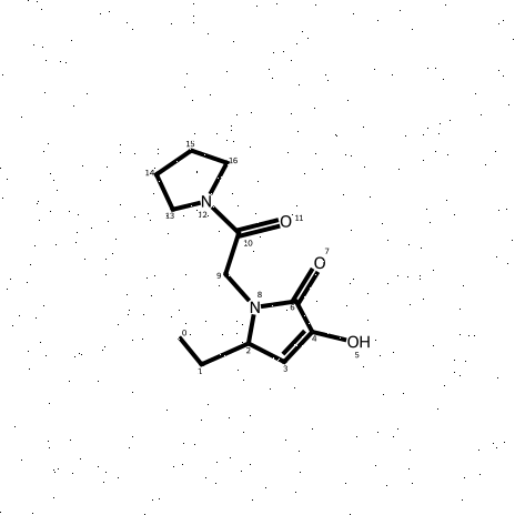 CCC1C=C(O)C(=O)N1CC(=O)N1CCCC1